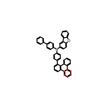 c1ccc(-c2ccc(N(c3ccc(-c4cccc(-c5ccccc5)c4-c4ccccc4-c4ccccc4)cc3)c3ccc4oc5ccccc5c4c3)cc2)cc1